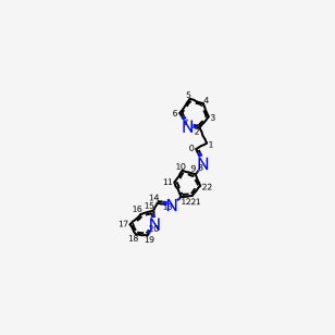 C(Cc1ccccn1)=Nc1ccc(N=Cc2ccccn2)cc1